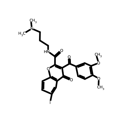 COc1ccc(C(=O)c2c(C(=O)NCCCN(C)C)oc3ccc(I)cc3c2=O)cc1OC